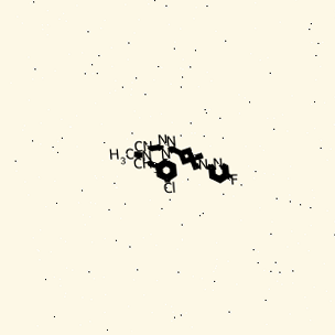 CC(C)(C#N)N1Cc2cc(Cl)ccc2-n2c(nnc2C2CC3(C2)CN(c2ccc(F)cn2)C3)C1